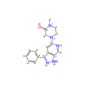 CN1CCN(c2cc3c(-c4ccccc4)n[nH]c3cn2)CC1=O